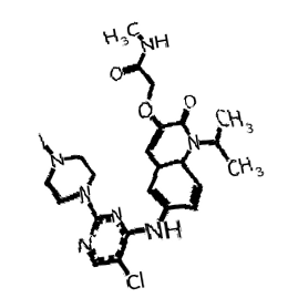 CNC(=O)COC1=CC2C=C(Nc3nc(N4CCN(I)CC4)ncc3Cl)C=CC2N(C(C)C)C1=O